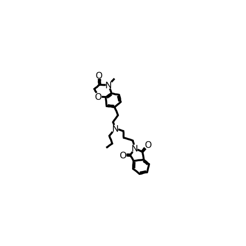 CCCN(CCCN1C(=O)c2ccccc2C1=O)CCc1ccc2c(c1)OCC(=O)N2C